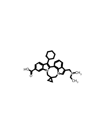 CCN(C)Cc1cn2c3c(cccc13)-c1c(C3CCCCC3)c3ccc(C(=O)O)cc3n1CC1(CC1)C2